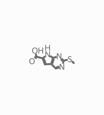 CSc1ncc2cc(C(=O)O)[nH]c2n1